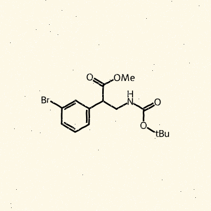 COC(=O)C(CNC(=O)OC(C)(C)C)c1cccc(Br)c1